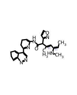 C/C=C(\C=C(/C)C(C(=O)NC1=CCCC(c2cnnc3c2=CCCC=3)=N1)c1ccon1)NC